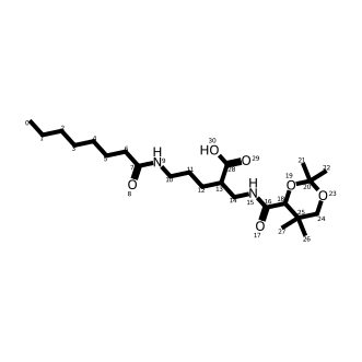 CCCCCCCC(=O)NCCCC(CNC(=O)C1OC(C)(C)OCC1(C)C)C(=O)O